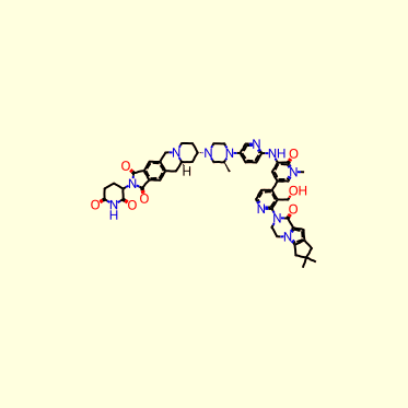 C[C@H]1CN([C@H]2CCN3Cc4cc5c(cc4C[C@@H]3C2)C(=O)N(C2CCC(=O)NC2=O)C5=O)CCN1c1ccc(Nc2cc(-c3ccnc(N4CCn5c(cc6c5CC(C)(C)C6)C4=O)c3CO)cn(C)c2=O)nc1